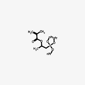 C=C(C)C(=O)OC(C)C[Si](OCCC)(OCCC)OCCC